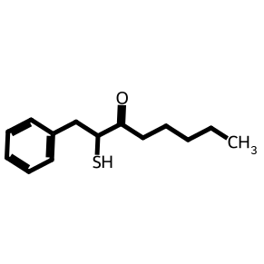 CCCCCC(=O)C(S)Cc1ccccc1